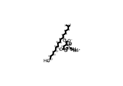 CC(C)CCCCCCCCCCCCCCCO.O=C([O-])CC(C(=O)[O-])S(=O)(=O)O.[Na+].[Na+]